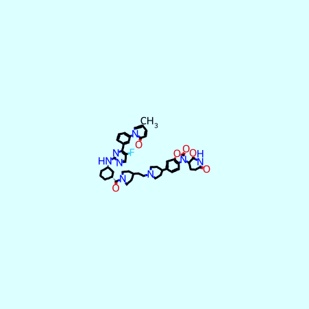 Cc1ccc(=O)n(-c2cccc(-c3nc(N[C@H]4CCC[C@@H](C(=O)N5CCC(CCN6CCC(c7ccc8c(c7)oc(=O)n8C7CCC(=O)NC7=O)CC6)CC5)C4)ncc3F)c2)c1